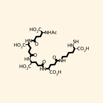 CC(=O)N[C@@H](CCC(=O)N[C@@H](CCC(=O)N[C@@H](CCC(=O)N[C@@H](CCC(=O)NCCCC[C@H](NS)C(=O)O)C(=O)O)C(=O)O)C(=O)O)C(=O)O